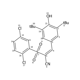 CC(C)(C)c1cc(C=C(C#N)S(=O)(=O)c2cc(Cl)ccc2Cl)cc(C(C)(C)C)c1O